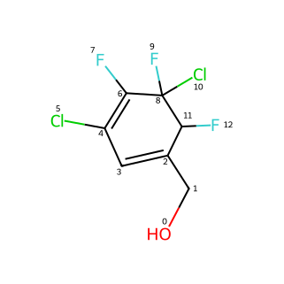 OCC1=CC(Cl)=C(F)C(F)(Cl)C1F